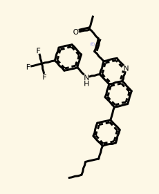 CCCCc1ccc(-c2ccc3ncc(/C=C/C(C)=O)c(Nc4cccc(C(F)(F)F)c4)c3c2)cc1